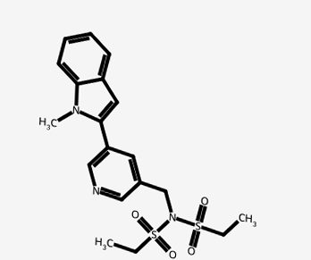 CCS(=O)(=O)N(Cc1cncc(-c2cc3ccccc3n2C)c1)S(=O)(=O)CC